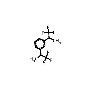 CC(c1cccc(C(C)C(F)(F)F)c1)C(F)(F)F